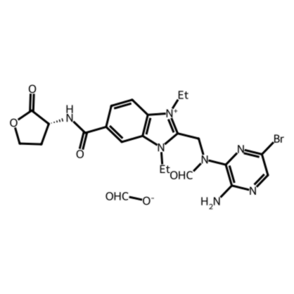 CCn1c(CN(C=O)c2nc(Br)cnc2N)[n+](CC)c2ccc(C(=O)N[C@@H]3CCOC3=O)cc21.O=C[O-]